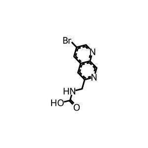 O=C(O)NCc1cc2cc(Br)cnc2cn1